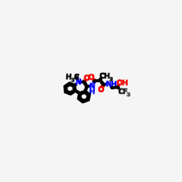 CC(C(=O)NCC(O)C(F)(F)F)C(=O)NC1C(=O)N(C)c2ccccc2-c2ccccc21